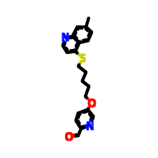 Cc1ccc2c(SCCCCCOc3ccc(C=O)nc3)ccnc2c1